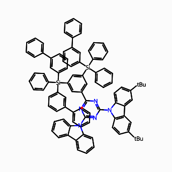 CC(C)(C)c1ccc2c(c1)c1cc(C(C)(C)C)ccc1n2-c1nc(-c2cc([Si](c3ccccc3)(c3ccccc3)c3cccc(-c4ccccc4)c3)cc([Si](c3ccccc3)(c3cccc(-c4ccccc4)c3)c3cccc(-c4ccccc4)c3)c2)nc(-n2c3ccccc3c3ccccc32)n1